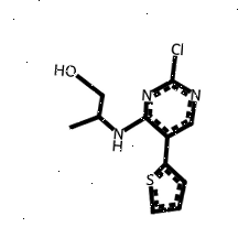 CC(CO)Nc1nc(Cl)ncc1-c1cccs1